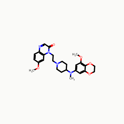 COc1ccc2ncc(=O)n(CCN3CCC(N(C)c4cc(OC)c5c(c4)OCCO5)CC3)c2c1